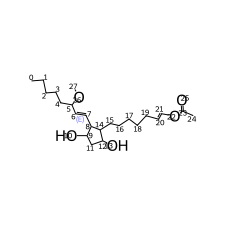 CCCCCC(/C=C/C1C(O)CC(O)C1CCCCCC=COC(C)=O)OC